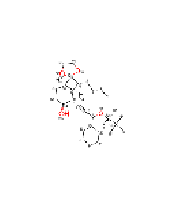 CCCCC1[C@H]2[C@H](C#C[C@@H](O[Si](C)(C)C(C)(C)C)C3CCCCC3)[C@@H](O)CC[C@H]2C12OCCO2